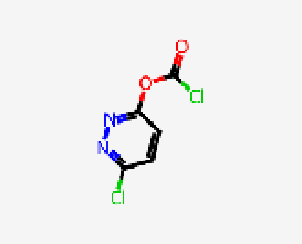 O=C(Cl)Oc1ccc(Cl)nn1